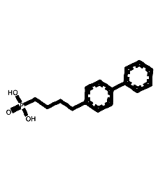 O=P(O)(O)CCCCc1ccc(-c2ccccc2)cc1